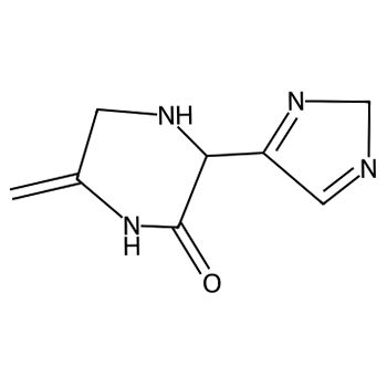 C=C1CNC(C2=NCN=C2)C(=O)N1